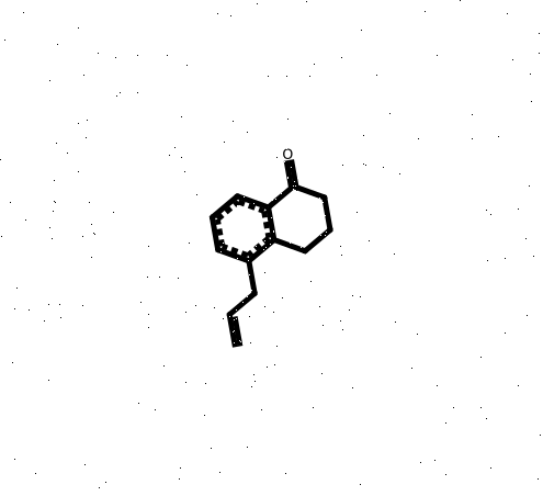 C=CCc1cccc2c1CCCC2=O